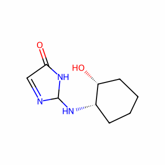 O=C1C=NC(N[C@H]2CCCC[C@H]2O)N1